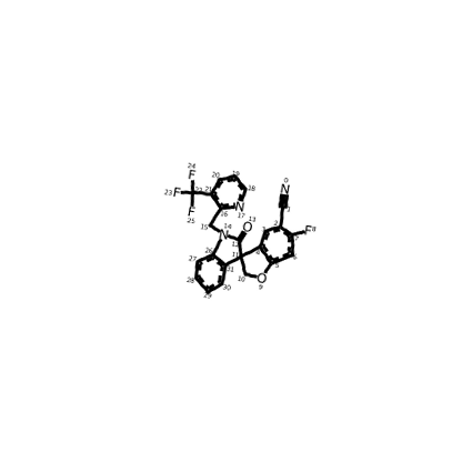 N#Cc1cc2c(cc1F)OCC21C(=O)N(Cc2ncccc2C(F)(F)F)c2ccccc21